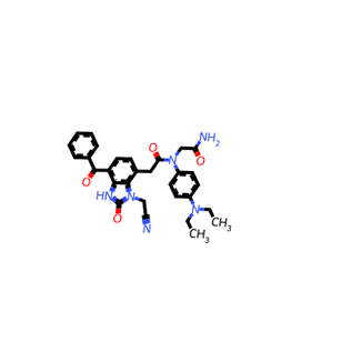 CCN(CC)c1ccc(N(CC(N)=O)C(=O)Cc2ccc(C(=O)c3ccccc3)c3[nH]c(=O)n(CC#N)c23)cc1